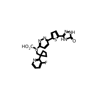 O=C(O)N(CC1(c2ncccc2F)CCC1)c1ccc(-c2ccc(-c3n[nH]c(=O)[nH]3)s2)nn1